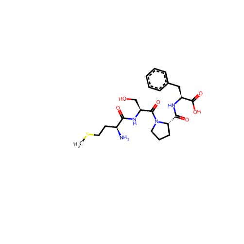 CSCC[C@H](N)C(=O)N[C@@H](CO)C(=O)N1CCC[C@H]1C(=O)N[C@@H](Cc1ccccc1)C(=O)O